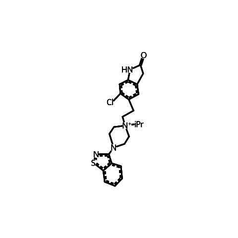 CC(C)[N+]1(CCc2cc3c(cc2Cl)NC(=O)C3)CCN(c2nsc3ccccc23)CC1